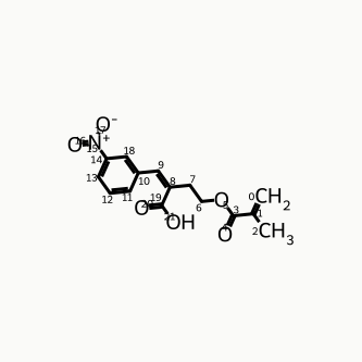 C=C(C)C(=O)OCCC(=Cc1cccc([N+](=O)[O-])c1)C(=O)O